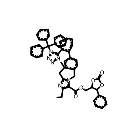 CCCc1nc(CC)c(C(=O)OCC2OC(=O)OC2c2ccccc2)n1Cc1ccc(-c2ccccc2-c2nnnn2C(c2ccccc2)(c2ccccc2)c2ccccc2)cc1